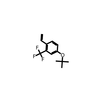 C=Cc1ccc(OC(C)(C)C)cc1C(F)(F)F